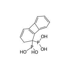 OP(O)C1(P(O)O)CC=CC2=C1c1ccccc12